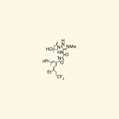 C=C1CC(C)(O)CN1C(=N)/C(=C\NC)NC(=O)C1=COC(C(/C=C(\C)CCC)=C/C=C(/CC)CCC(F)(F)F)N1C